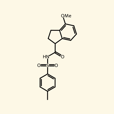 COc1cccc2c1CCC2C(=O)NS(=O)(=O)c1ccc(C)cc1